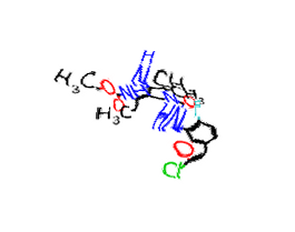 CCOC(=O)N/C(CC)=C1/CN(C(=O)Nc2c(F)ccc3cc(Cl)oc23)C(C)(C)C1=N